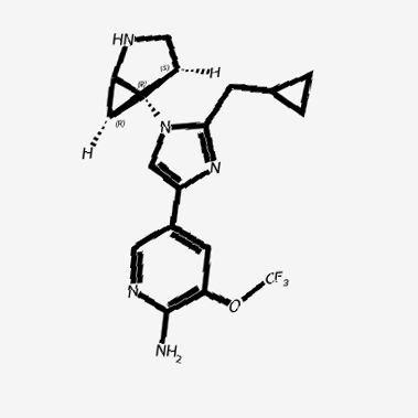 Nc1ncc(-c2cn([C@]34C5NC[C@@H]3[C@H]54)c(CC3CC3)n2)cc1OC(F)(F)F